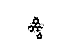 CC1=C(C(=O)OC2CCCC2)C(c2ccncc2)C2=C(CC(C)(C)CC2=O)N1